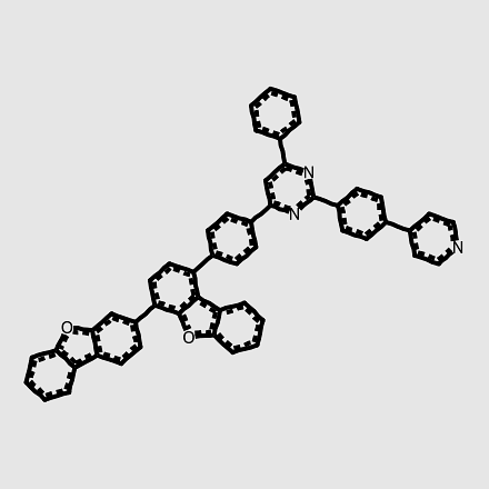 c1ccc(-c2cc(-c3ccc(-c4ccc(-c5ccc6c(c5)oc5ccccc56)c5oc6ccccc6c45)cc3)nc(-c3ccc(-c4ccncc4)cc3)n2)cc1